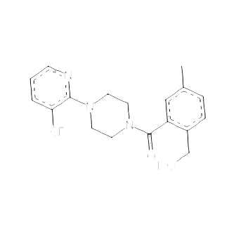 Cc1ccc(CO)c(C(=O)N2CCN(c3ncccc3C(F)(F)F)CC2)c1